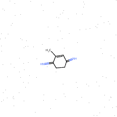 CC1=CC(=N)CCC1=N